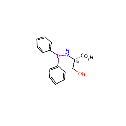 O=C(O)[C@H](CO)NP(c1ccccc1)c1ccccc1